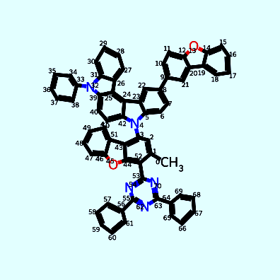 Cc1cc(-n2c3ccc(-c4ccc5oc6ccccc6c5c4)cc3c3c4c5ccccc5n(-c5ccccc5)c4ccc32)c2c(oc3ccccc32)c1-c1nc(-c2ccccc2)nc(-c2ccccc2)n1